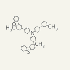 CC1C=C(C2CC=C(N(C3=CCC(C4(C)C=CC5=C(C4)C4C=CC=CC4S5)C=C3)C3=CC=C(C4C=C5c6ccccc6OC5(C)CC4)CC3)CC2)C=CC1